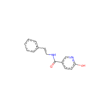 O=C(NC=Cc1ccccc1)c1ccc(O)nc1